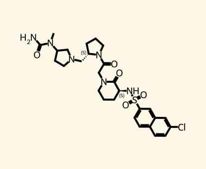 CN(C(N)=O)C1CCN(C[C@@H]2CCCN2C(=O)CN2CCC[C@H](NS(=O)(=O)c3ccc4ccc(Cl)cc4c3)C2=O)C1